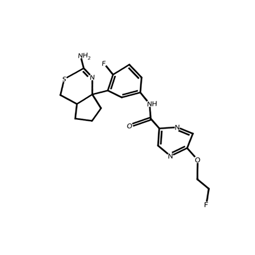 NC1=NC2(c3cc(NC(=O)c4cnc(OCCF)cn4)ccc3F)CCCC2CS1